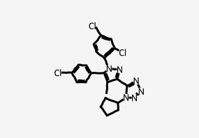 Cc1c(-c2nnnn2C2CCCC2)nn(-c2ccc(Cl)cc2Cl)c1-c1ccc(Cl)cc1